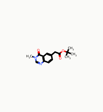 Cn1cnc2ccc(CC(=O)OC(C)(C)C)cc2c1=O